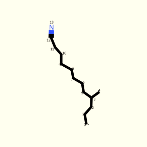 [CH2]CCC(C)CCCCCCCC#N